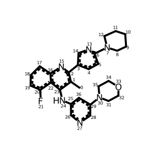 Cc1c(-c2ccc(N3CCCCC3)nc2)nc2cccc(F)c2c1Nc1cncc(N2CCOCC2)c1